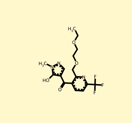 CCOCCOCc1nc(C(F)(F)F)ccc1C(=O)c1cnn(C)c1O